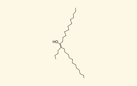 CCCCCCCCCCCCC(O)=C(CCCC)CCCCCCCCCCCC